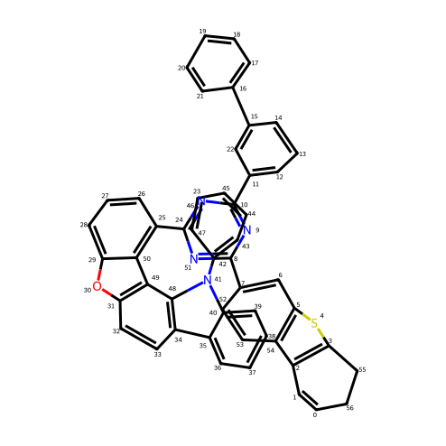 C1=Cc2c(sc3cc(-c4nc(-c5cccc(-c6ccccc6)c5)nc(-c5cccc6oc7ccc8c9ccccc9n(-c9ccccc9)c8c7c56)n4)ccc23)CC1